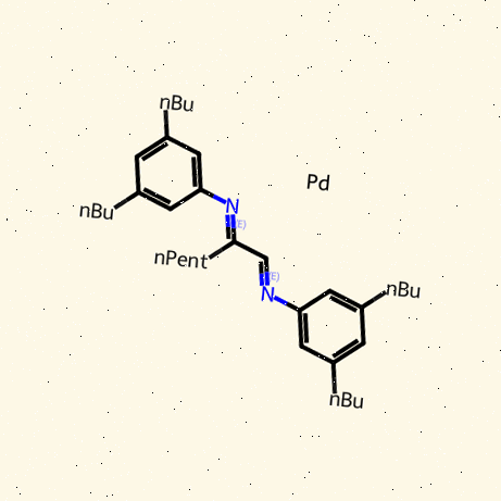 CCCCCC(/C=N/c1cc(CCCC)cc(CCCC)c1)=N\c1cc(CCCC)cc(CCCC)c1.[Pd]